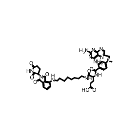 CN(Cc1cnc2nc(N)nc(N)c2n1)c1ccc(C(=O)NC(CCC(=O)O)C(=O)NCCCCCCCCNc2cccc3c2C(=O)N(C2CCC(=O)NC2=O)C3=O)cc1